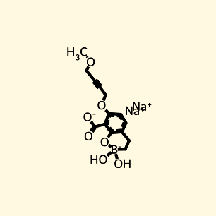 COCC#CCOc1ccc2c(c1C(=O)[O-])O[B-](O)(O)CC2.[Na+].[Na+]